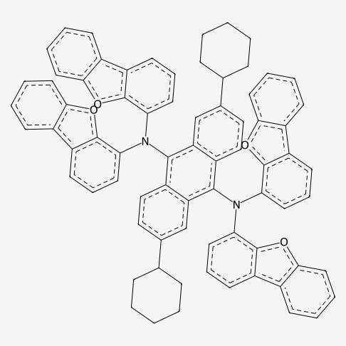 c1ccc2c(c1)oc1c(N(c3c4ccc(C5CCCCC5)cc4c(N(c4cccc5c4oc4ccccc45)c4cccc5c4oc4ccccc45)c4ccc(C5CCCCC5)cc34)c3cccc4c3oc3ccccc34)cccc12